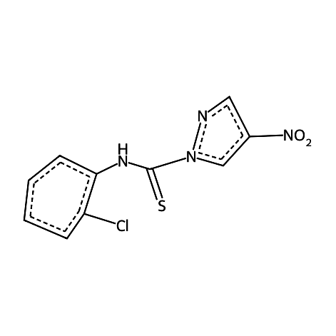 O=[N+]([O-])c1cnn(C(=S)Nc2ccccc2Cl)c1